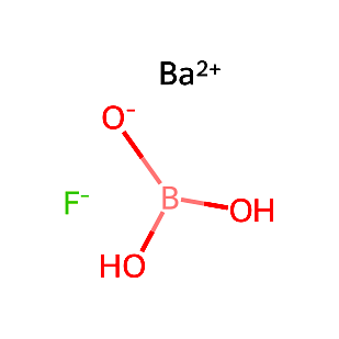 [Ba+2].[F-].[O-]B(O)O